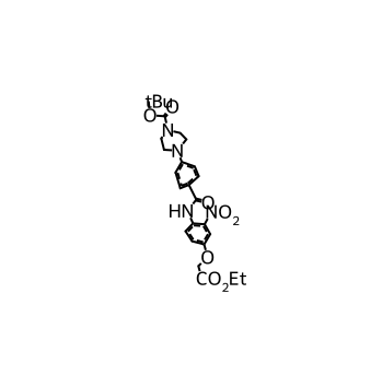 CCOC(=O)COc1ccc(NC(=O)c2ccc(N3CCN(C(=O)OC(C)(C)C)CC3)cc2)c([N+](=O)[O-])c1